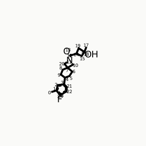 Cc1cc(C2CCC3(CC2)CN(C(=O)C2CC(C)(O)C2)C3)ccc1F